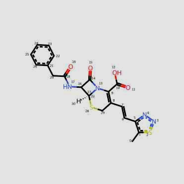 Cc1snnc1C=CC1=C(C(=O)O)N2C(=O)C(NC(=O)Cc3ccccc3)[C@@H]2SC1